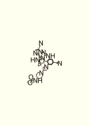 COC(=O)NC1CCN(C2CN(c3cc(C#N)cc(Nc4nc(NC5CC5)c5ncc(C#N)n5n4)c3Cl)C2)CC1